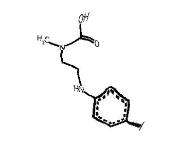 CN(CCNc1ccc(I)cc1)C(=O)O